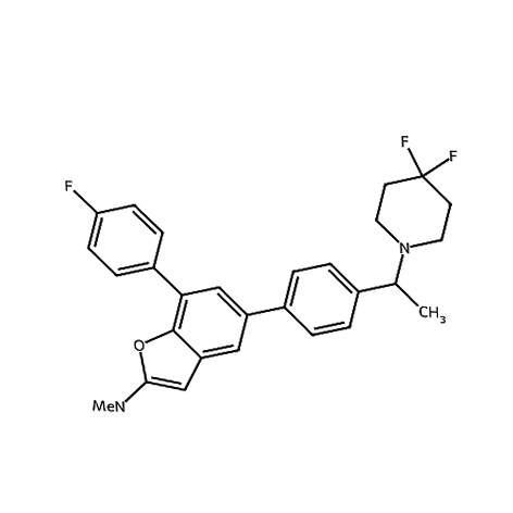 CNc1cc2cc(-c3ccc(C(C)N4CCC(F)(F)CC4)cc3)cc(-c3ccc(F)cc3)c2o1